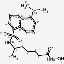 CC(CCCCC(=O)NO)NS(=O)(=O)c1cccc2c(N(C)C)cccc12